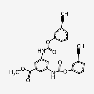 C#Cc1cccc(OC(=O)Nc2cc(NC(=O)Oc3cccc(C#C)c3)cc(C(=O)OC)c2)c1